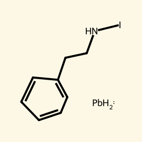 INCCc1ccccc1.[PbH2]